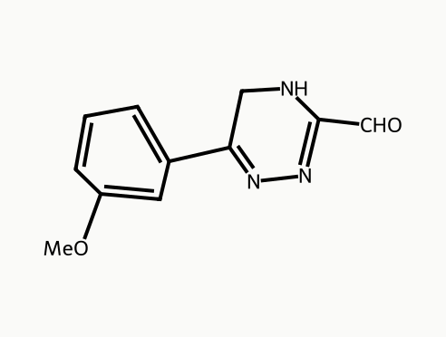 COc1cccc(C2=NN=C(C=O)NC2)c1